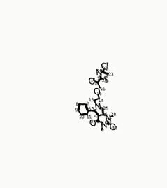 Cn1c(=O)c2c(-c3ccccc3)n(CCOCC(=O)c3nc(Cl)cs3)cc2n(C)c1=O